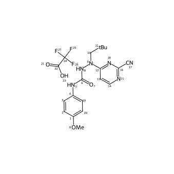 COc1ccc(NC(=O)NN(CC(C)(C)C)c2ccnc(C#N)n2)cc1.O=C(O)C(F)(F)F